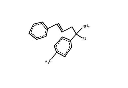 CCC(N)(CC=Cc1ccccc1)c1ccc(C)cc1